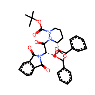 CC(C)(C)OC(=O)N1CCC[C@H](C2OC(c3ccccc3)O2)N1C(=O)[C@H](COCc1ccccc1)N1C(=O)c2ccccc2C1=O